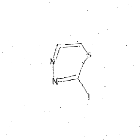 IC1=NN=C=CS1